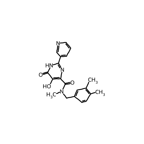 Cc1ccc(CN(C)C(=O)c2nc(-c3cccnc3)[nH]c(=O)c2O)cc1C